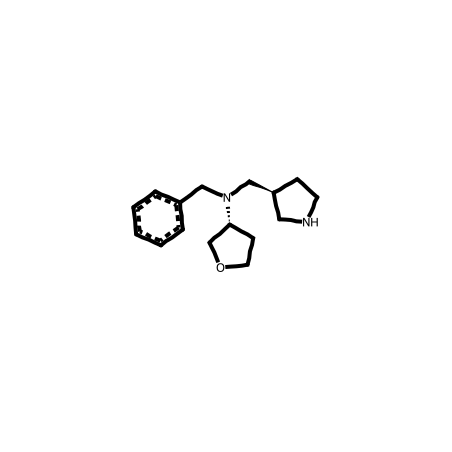 c1ccc(CN(C[C@H]2CCNC2)[C@@H]2CCOC2)cc1